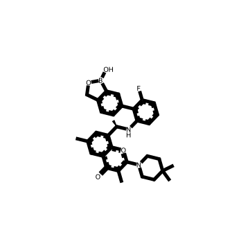 Cc1cc([C@@H](C)Nc2cccc(F)c2-c2ccc3c(c2)B(O)OC3)c2oc(N3CCC(C)(C)CC3)c(C)c(=O)c2c1